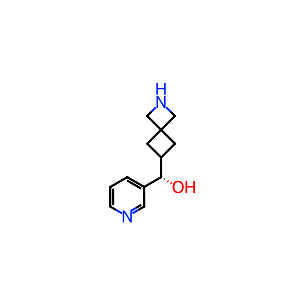 O[C@H](c1cccnc1)C1CC2(CNC2)C1